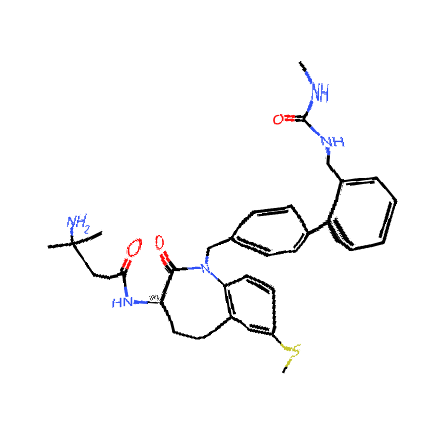 CNC(=O)NCc1ccccc1-c1ccc(CN2C(=O)[C@H](NC(=O)CC(C)(C)N)CCc3cc(SC)ccc32)cc1